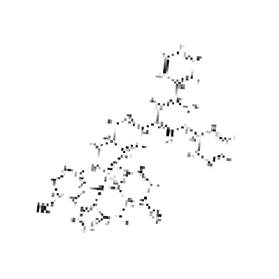 N#Cc1ccc2c(c1)C1(c3ccccc3Sc3c(C#N)cccc31)c1cc3cc(-c4nc(-c5ccccc5)nc(-c5ccccc5)n4)ccc3cc1-2